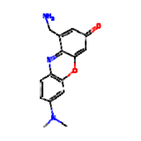 CN(C)c1ccc2nc3c(CN)cc(=O)cc-3oc2c1